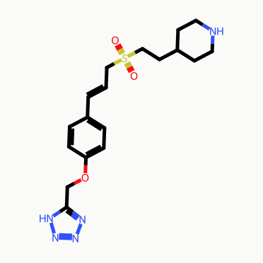 O=S(=O)(CC=Cc1ccc(OCc2nnn[nH]2)cc1)CCC1CCNCC1